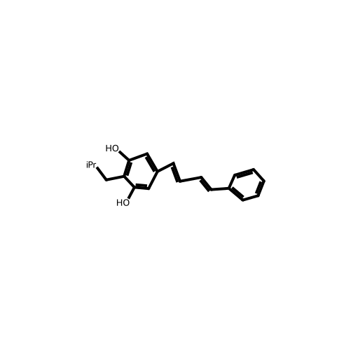 CC(C)Cc1c(O)cc(C=CC=Cc2ccccc2)cc1O